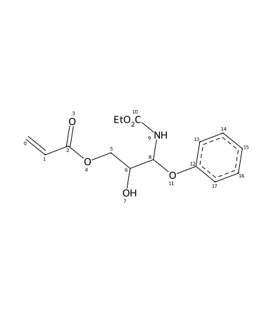 C=CC(=O)OCC(O)C(NC(=O)OCC)Oc1ccccc1